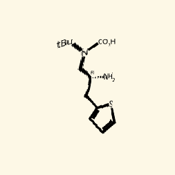 CC(C)(C)N(C[C@H](N)Cc1cccs1)C(=O)O